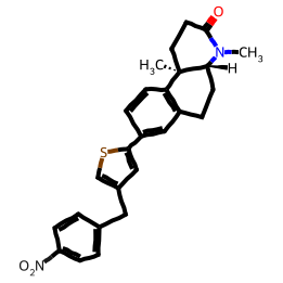 CN1C(=O)CC[C@]2(C)c3ccc(-c4cc(Cc5ccc([N+](=O)[O-])cc5)cs4)cc3CC[C@@H]12